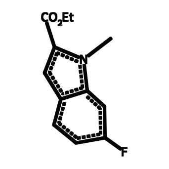 CCOC(=O)c1cc2ccc(F)cc2n1C